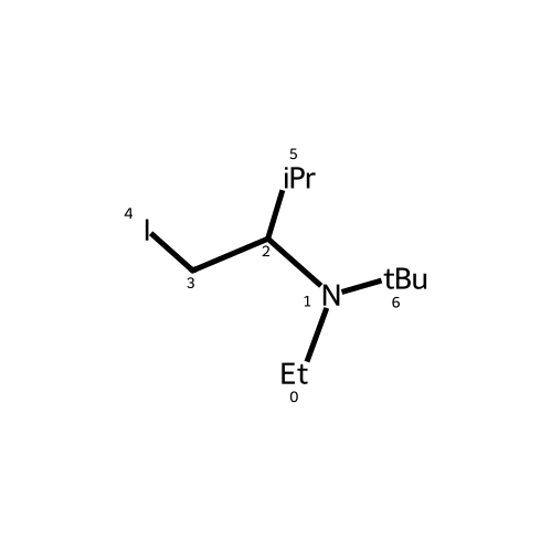 CCN(C(CI)C(C)C)C(C)(C)C